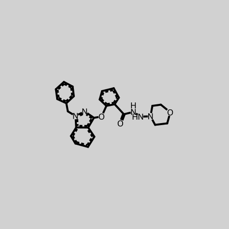 O=C(NNN1CCOCC1)c1ccccc1Oc1nn(Cc2ccccc2)c2ccccc12